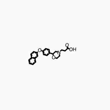 O=C(O)CCN1CCOC(c2ccc(Oc3ccc4ccccc4c3)cc2)C1